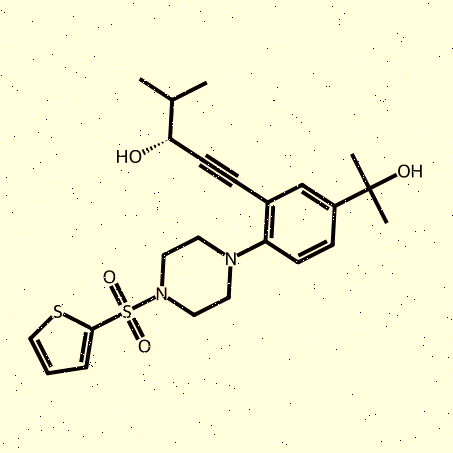 CC(C)[C@@H](O)C#Cc1cc(C(C)(C)O)ccc1N1CCN(S(=O)(=O)c2cccs2)CC1